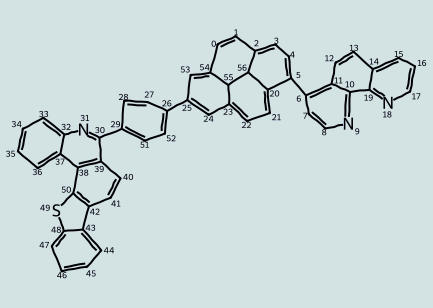 C1=CC2=CC=C(c3ccnc4c3ccc3cccnc34)C3=CC=C4C=C(c5ccc(-c6nc7ccccc7c7c6ccc6c8ccccc8sc67)cc5)C=C1C4C23